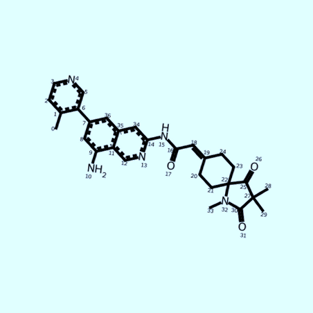 Cc1ccncc1-c1cc(N)c2cnc(NC(=O)C=C3CCC4(CC3)C(=O)C(C)(C)C(=O)N4C)cc2c1